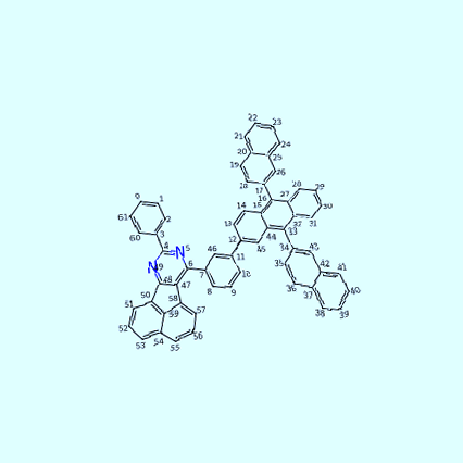 c1ccc(-c2nc(-c3cccc(-c4ccc5c(-c6ccc7ccccc7c6)c6ccccc6c(-c6ccc7ccccc7c6)c5c4)c3)c3c(n2)-c2cccc4cccc-3c24)cc1